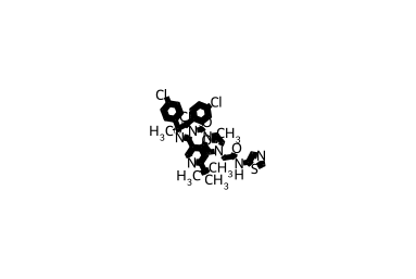 CCOc1cc(C(C)(C)C)ncc1C1=N[C@@](C)(c2ccc(Cl)cc2)[C@@](C)(c2ccc(Cl)cc2)N1C(=O)N1CCN(CC(=O)Nc2cncs2)CC1